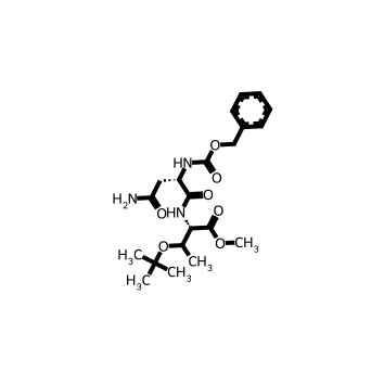 COC(=O)[C@@H](NC(=O)[C@H](CC(N)=O)NC(=O)OCc1ccccc1)C(C)OC(C)(C)C